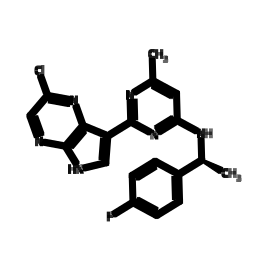 Cc1cc(N[C@@H](C)c2ccc(F)cc2)nc(-c2c[nH]c3ncc(Cl)nc23)n1